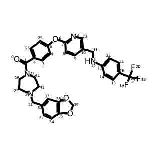 O=C(c1ccc(Oc2ccc(CNc3ccc(C(F)(F)F)cc3)cn2)cc1)N1CCN(Cc2ccc3c(c2)OCO3)CC1